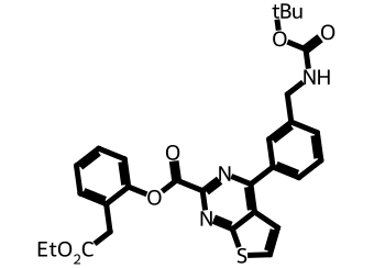 CCOC(=O)Cc1ccccc1OC(=O)c1nc(-c2cccc(CNC(=O)OC(C)(C)C)c2)c2ccsc2n1